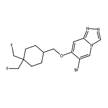 FCC1(CF)CCC(COc2cc3nncn3cc2Br)CC1